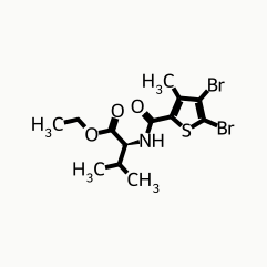 CCOC(=O)[C@@H](NC(=O)c1sc(Br)c(Br)c1C)C(C)C